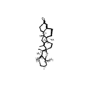 CC1=C2C[C@H]3[C@@H](CCC4=CC(=O)CC[C@@]43C)[C@@H]2CC[C@]12O[C@]1(N)C[C@H](C)CN[C@H]1[C@H]2C